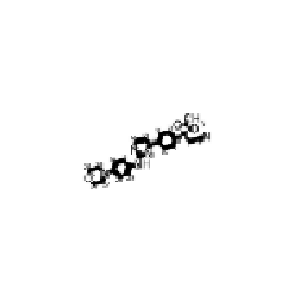 CS(=O)(=O)N(CC#N)c1ccc(-c2ccnc(Nc3ccc(N4CCOCC4)cc3)n2)cc1